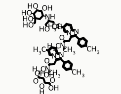 Cc1ccc(-c2nc3ccc(C)cn3c2CC(=O)N(C)C)cc1.Cc1ccc(-c2nc3ccc(C)cn3c2CC(=O)N(C)C)cc1.O=C(O)C(O)C(O)C(=O)O.OCC(CO)N[C@H]1C[C@](O)(CO)[C@@H](O)[C@H](O)[C@H]1O